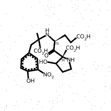 CC(Cc1ccc(O)c([N+](=O)[O-])c1)(N[C@@H](CCC(=O)O)C(=O)[C@]1(C(=O)O)NCCC1O)C(=O)O